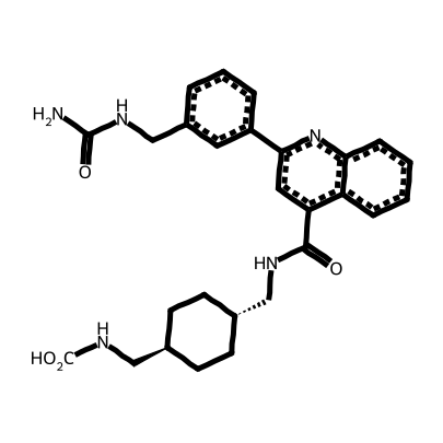 NC(=O)NCc1cccc(-c2cc(C(=O)NC[C@H]3CC[C@H](CNC(=O)O)CC3)c3ccccc3n2)c1